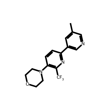 Cc1cncc(-c2ccc(N3CCOCC3)c(C(F)(F)F)n2)c1